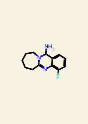 NC1c2cccc(F)c2N=C2CCCCCN21